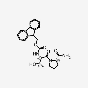 C[C@@H](O)[C@H](NC(=O)OCC1c2ccccc2-c2ccccc21)C(=O)N1CCC[C@H]1C(N)=O